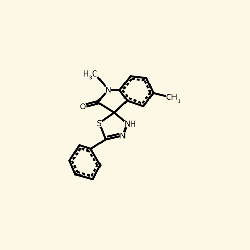 Cc1ccc2c(c1)C1(NN=C(c3ccccc3)S1)C(=O)N2C